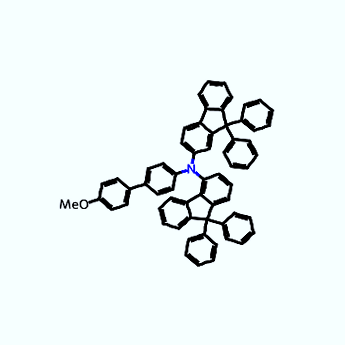 COc1ccc(-c2ccc(N(c3ccc4c(c3)C(c3ccccc3)(c3ccccc3)c3ccccc3-4)c3cccc4c3-c3ccccc3C4(c3ccccc3)c3ccccc3)cc2)cc1